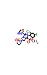 COC(=O)C1=C2C[C@H](N3CCCS3(=O)=O)CN2C(C2NC=CS2)=NC1c1ccc(F)cc1Cl